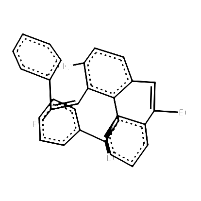 CCC(=Cc1ccc(O)c(C=C(CC)c2ccccc2)c1C=C(CC)c1ccccc1)c1ccccc1